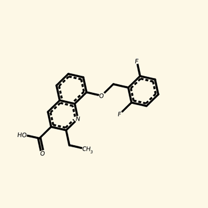 CCc1nc2c(OCc3c(F)cccc3F)cccc2cc1C(=O)O